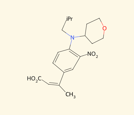 C/C(=C/C(=O)O)c1ccc(N(CC(C)C)C2CCOCC2)c([N+](=O)[O-])c1